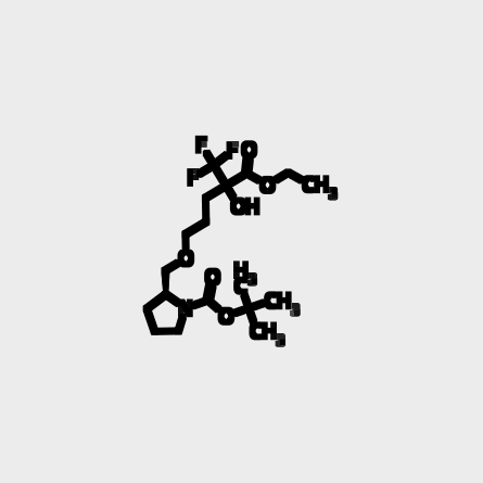 CCOC(=O)C(O)(CCCOC[C@@H]1CCCN1C(=O)OC(C)(C)C)C(F)(F)F